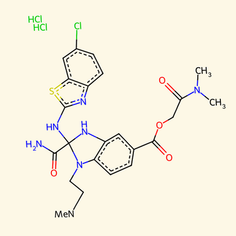 CNCCN1c2ccc(C(=O)OCC(=O)N(C)C)cc2NC1(Nc1nc2ccc(Cl)cc2s1)C(N)=O.Cl.Cl